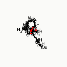 CC[C@H](C)[C@@H]1NC(=O)CNC(=O)[C@H]2Cc3c([nH]c4cc(OCCCCCCNC(=O)CONC(=O)OC(C)(C)C)ccc34)SC[C@H](NC(=O)CNC1=O)C(=O)N[C@@H](CC(N)=O)C(=O)N1C[C@H](O)C[C@H]1C(=O)N[C@@H]([C@@H](C)[C@@H](O)CO)C(=O)N2